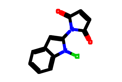 O=C1C=CC(=O)N1c1cc2ccccc2n1Cl